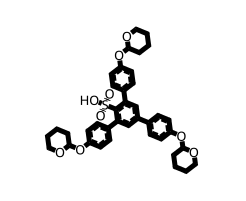 O=S(=O)(O)c1c(-c2ccc(OC3CCCCO3)cc2)cc(-c2ccc(OC3CCCCO3)cc2)cc1-c1ccc(OC2CCCCO2)cc1